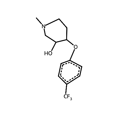 CN1CCC(Oc2ccc(C(F)(F)F)cc2)C(O)C1